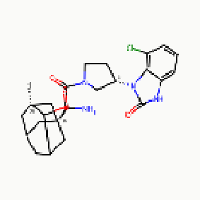 NC(=O)[C@]12CC3CC(C1)C(OC(=O)N1CC[C@H](n4c(=O)[nH]c5cccc(Cl)c54)C1)[C@@H](C3)C2